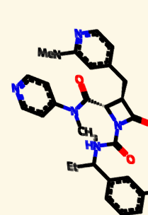 CCC(NC(=O)N1C(=O)[C@H](Cc2ccnc(NC)c2)[C@H]1C(=O)N(C)c1ccncc1)c1cccc(Cl)c1